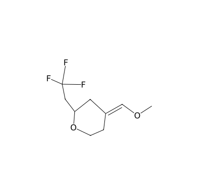 COC=C1CCOC(CC(F)(F)F)C1